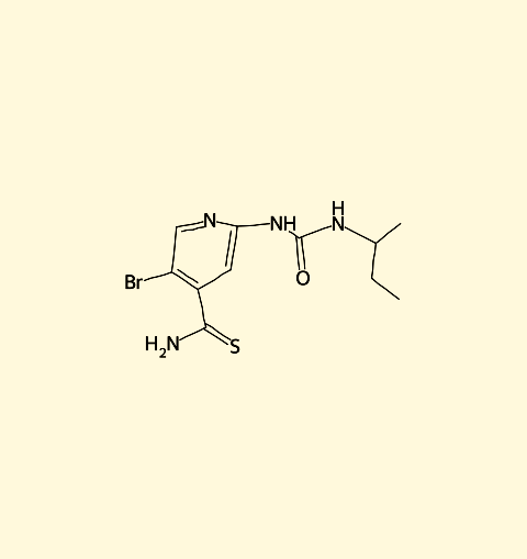 CCC(C)NC(=O)Nc1cc(C(N)=S)c(Br)cn1